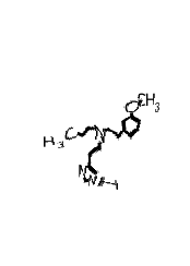 CCCN(CCc1cccc(OC)c1)CCc1c[nH]cn1